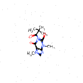 Cn1[c]nc2c1c(=O)n(C(=O)C(C)(C)C)c(=O)n2C